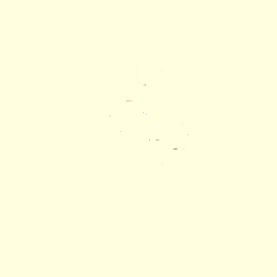 O=C(NC(C(=O)O)c1cc(CCCC(F)(F)F)cc2ccccc12)c1ccccc1